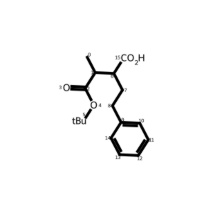 CC(C(=O)OC(C)(C)C)C(CCc1ccccc1)C(=O)O